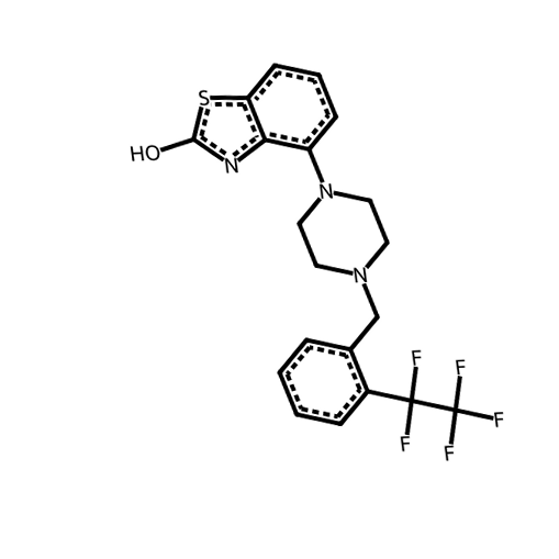 Oc1nc2c(N3CCN(Cc4ccccc4C(F)(F)C(F)(F)F)CC3)cccc2s1